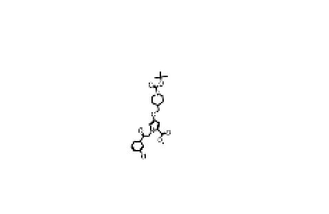 COC(=O)c1cc(OCC2CCN(C(=O)OC(C)(C)C)CC2)cn1CC(=O)c1cccc(Cl)c1